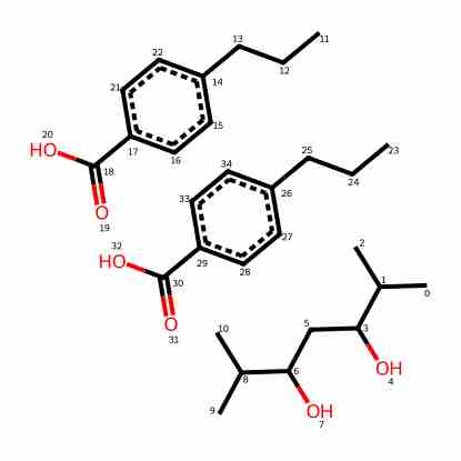 CC(C)C(O)CC(O)C(C)C.CCCc1ccc(C(=O)O)cc1.CCCc1ccc(C(=O)O)cc1